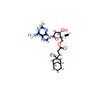 C#C[C@]1(COC(=O)CCC2(CC)CC3CCCC(C3)C2)O[C@@H](n2cnc3c(N)nc(F)nc32)C[C@@H]1O